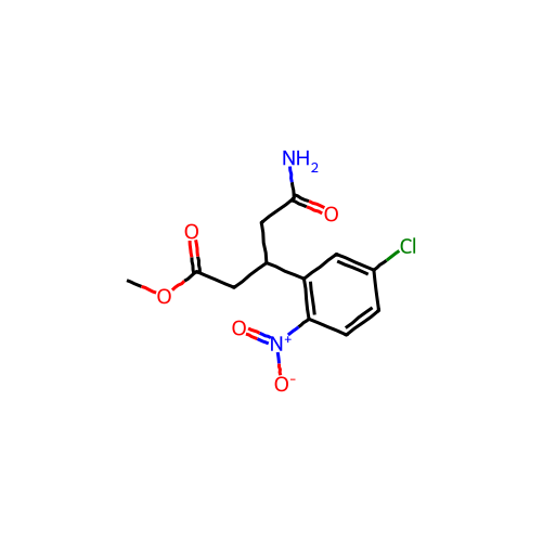 COC(=O)CC(CC(N)=O)c1cc(Cl)ccc1[N+](=O)[O-]